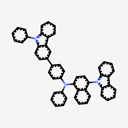 c1ccc(N(c2ccc(-c3ccc4c(c3)c3ccccc3n4-c3ccccc3)cc2)c2ccc(-n3c4ccccc4c4ccccc43)c3ccccc23)cc1